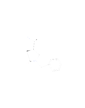 C[C@H](N)[C@@H]1CC(=O)N(Cc2ccccc2)C1